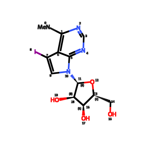 CNc1ncnc2c1c(I)cn2[C@@H]1O[C@H](CO)[C@@H](O)[C@H]1O